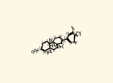 CCC[C@@H]1CC[C@H]2[C@@H](CC[C@@H]3CC(c4cc(F)c(C#N)c(F)c4)CC[C@H]32)C1